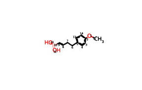 COc1ccc(CC/C=C/B(O)O)cc1